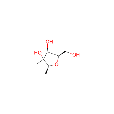 C[C@@H]1O[C@H](CO)[C@H](O)C1(C)O